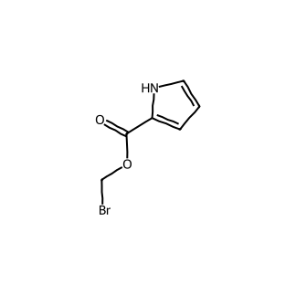 O=C(OCBr)c1ccc[nH]1